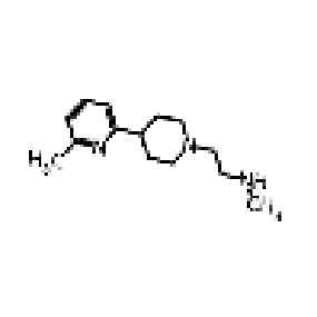 CNCCN1CCC(c2cccc(C)n2)CC1